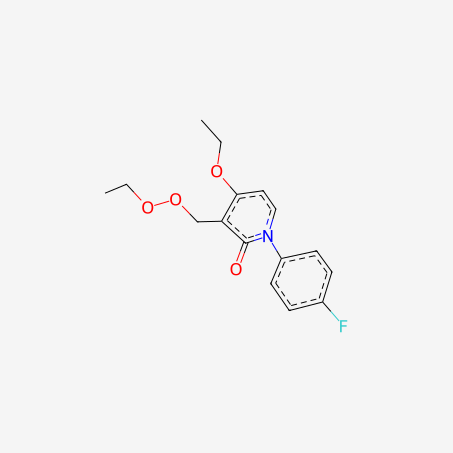 CCOOCc1c(OCC)ccn(-c2ccc(F)cc2)c1=O